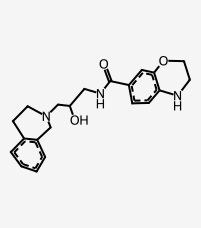 O=C(NCC(O)CN1CCc2ccccc2C1)c1ccc2c(c1)OCCN2